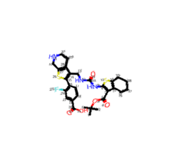 CC(C)(C)OC(=O)c1c(NC(=O)NCc2c(-c3ccc(C(=O)O)cc3F)sc3c2CCNC3)sc2c1CCCC2